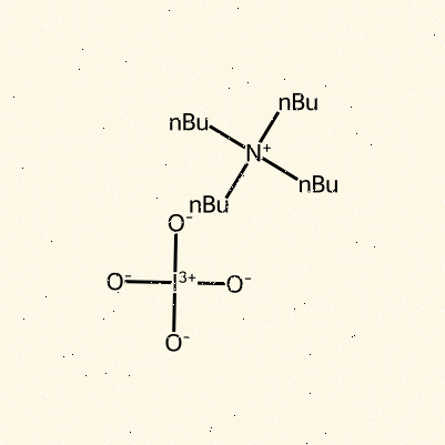 CCCC[N+](CCCC)(CCCC)CCCC.[O-][I+3]([O-])([O-])[O-]